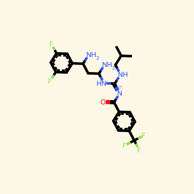 CC(C)CN/C(=N/C(=O)c1ccc(C(F)(F)F)cc1)NC(N)CC(N)c1cc(F)cc(F)c1